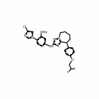 COc1cc(Nc2nc3n(n2)CCCCC3c2ccc(OCC(F)F)cc2)ccc1-n1cnc(Cl)c1